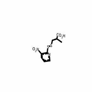 CC(CSSc1ncccc1[N+](=O)[O-])C(=O)O